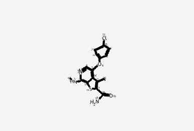 CNc1ncc(Oc2ccc(Cl)cc2)c2c(C)c(C(N)=O)sc12